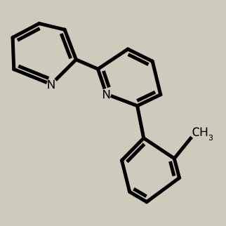 Cc1ccccc1-c1cccc(-c2ccccn2)n1